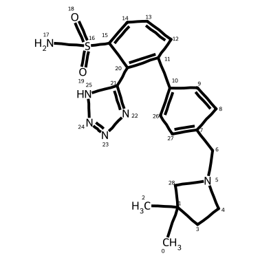 CC1(C)CCN(Cc2ccc(-c3cccc(S(N)(=O)=O)c3-c3nnn[nH]3)cc2)C1